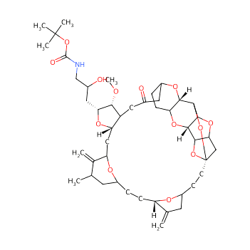 C=C1C(C)CC2CC[C@@H]3OC(CC[C@@]45CC6OC7C(O4)[C@H]4OC(CCC4O[C@H]7C6O5)CC(=O)CC4[C@H](CC1O2)O[C@H](CC(O)CNC(=O)OC(C)(C)C)[C@@H]4OC)CC3=C